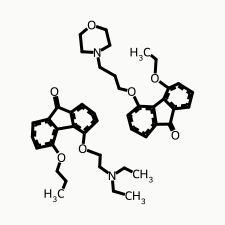 CCCOc1cccc2c1-c1c(OCCN(CC)CC)cccc1C2=O.CCOc1cccc2c1-c1c(OCCCN3CCOCC3)cccc1C2=O